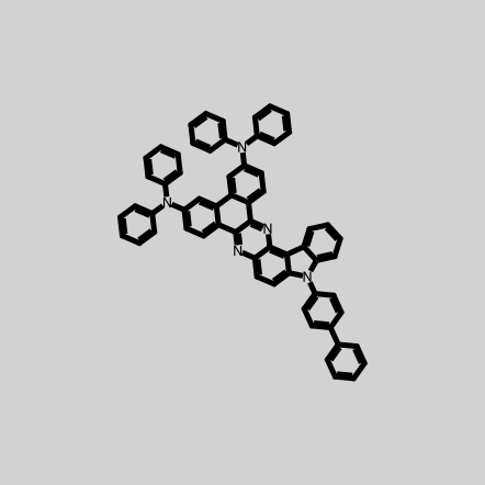 c1ccc(-c2ccc(-n3c4ccccc4c4c5nc6c7ccc(N(c8ccccc8)c8ccccc8)cc7c7cc(N(c8ccccc8)c8ccccc8)ccc7c6nc5ccc43)cc2)cc1